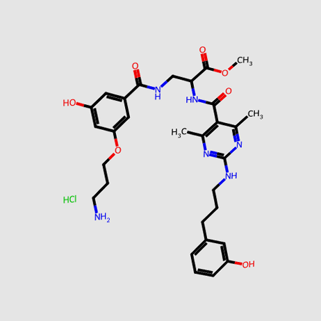 COC(=O)C(CNC(=O)c1cc(O)cc(OCCCN)c1)NC(=O)c1c(C)nc(NCCCc2cccc(O)c2)nc1C.Cl